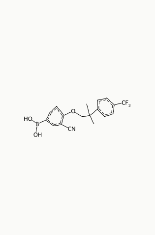 CC(C)(COc1ccc(B(O)O)cc1C#N)c1ccc(C(F)(F)F)cc1